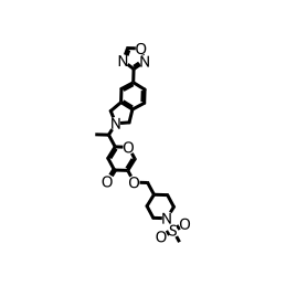 CC(c1cc(=O)c(OCC2CCN(S(C)(=O)=O)CC2)co1)N1Cc2ccc(-c3ncon3)cc2C1